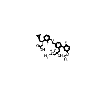 COCC(C)(C)Cc1cc(COc2cccc([C@H](CC(=O)O)CC3CC3)c2F)ccc1-c1cc(OC)ccc1F